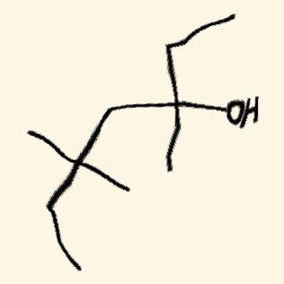 CCC(C)(C)CC(C)(O)CC